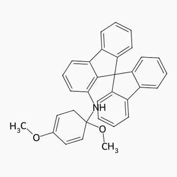 COC1=CCC(Nc2cccc3c2C2(c4ccccc4-c4ccccc42)c2ccccc2-3)(OC)C=C1